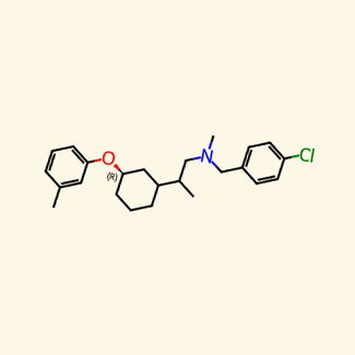 Cc1cccc(O[C@@H]2CCCC(C(C)CN(C)Cc3ccc(Cl)cc3)C2)c1